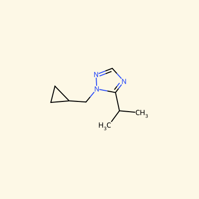 CC(C)c1ncnn1CC1CC1